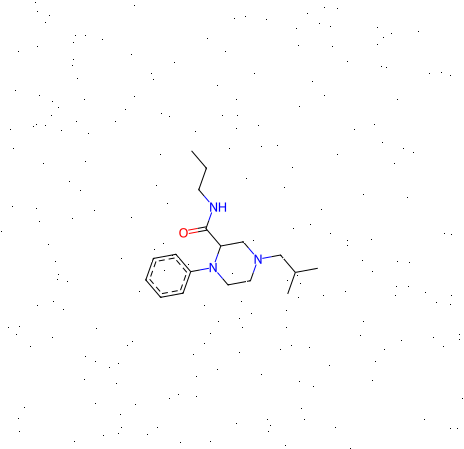 CCCNC(=O)C1CN(CC(C)C)CCN1c1ccccc1